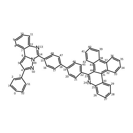 c1ccc(-c2cc3c4ccccc4nc(-c4ccc(-c5ccc(-c6nc7ccccc7c7c8ccccc8c8ccccc8c67)cc5)cc4)n3n2)cc1